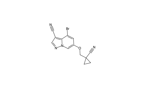 N#Cc1cnn2cc(OCC3(C#N)CC3)cc(Br)c12